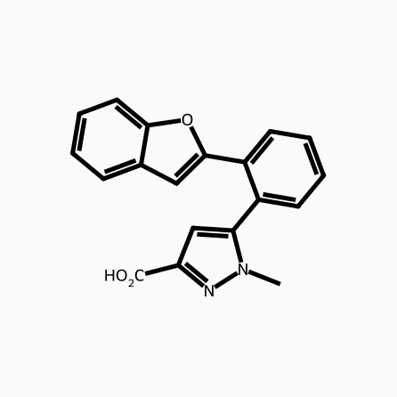 Cn1nc(C(=O)O)cc1-c1ccccc1-c1cc2ccccc2o1